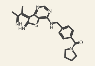 CC(=N)/C(C)=C1\C(=N)Sc2c(NCc3ccc(C(=O)N4CCCC4)cc3)ncnc21